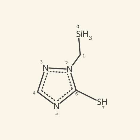 [SiH3]Cn1ncnc1S